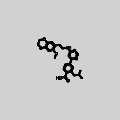 COc1cc2c(cc1CCNc1cc(-c3ccc(C(=O)O)c(CC(C)C)c3)ncn1)OCCO2